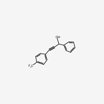 OC(C#Cc1ccc(C(F)(F)F)cc1)c1ccccc1